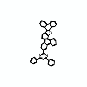 c1ccc(-c2nc(-c3ccccc3)nc(-c3ccc4c(c3)c3ccccc3c3c4ccc4c3oc3c5ccccc5c5ccccc5c43)n2)cc1